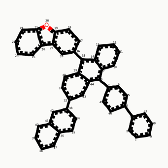 c1ccc(-c2ccc(-c3c4ccccc4c(-c4ccc5oc6ccccc6c5c4)c4ccc(-c5ccc6ccccc6c5)cc34)cc2)cc1